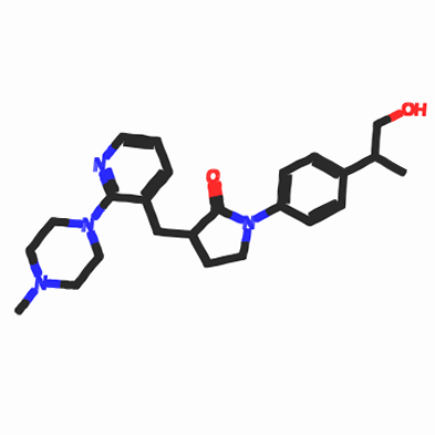 CC(CO)c1ccc(N2CCC(Cc3cccnc3N3CCN(C)CC3)C2=O)cc1